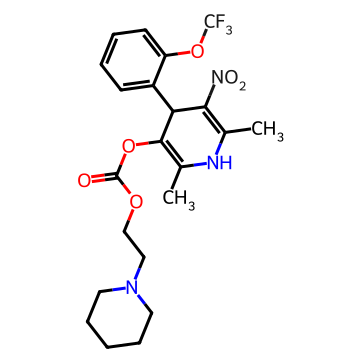 CC1=C(OC(=O)OCCN2CCCCC2)C(c2ccccc2OC(F)(F)F)C([N+](=O)[O-])=C(C)N1